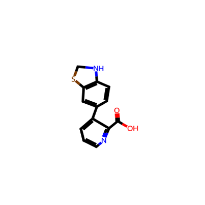 O=C(O)c1ncccc1-c1ccc2c(c1)SCN2